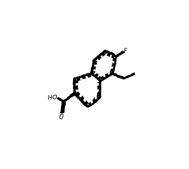 CCc1c(F)ccc2cc(C(=O)O)ccc12